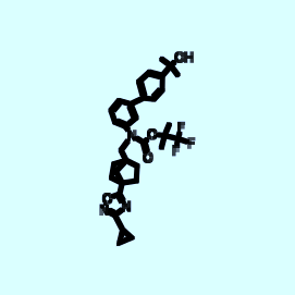 CC(C)(O)c1ccc(-c2cccc(N(CC34CCC(c5nc(C6CC6)no5)(CC3)C4)C(=O)OC(C)(C)C(F)(F)F)c2)cc1